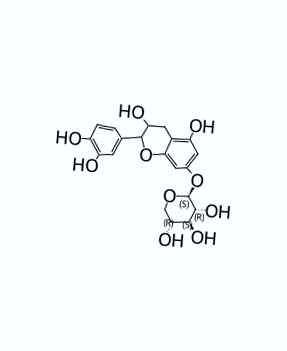 Oc1ccc(C2Oc3cc(O[C@@H]4OC[C@@H](O)[C@H](O)[C@H]4O)cc(O)c3CC2O)cc1O